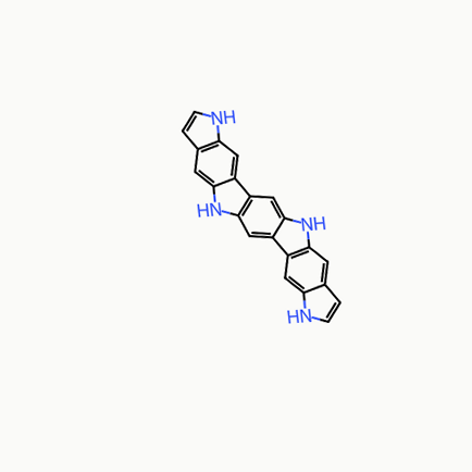 c1cc2cc3[nH]c4cc5c(cc4c3cc2[nH]1)[nH]c1cc2cc[nH]c2cc15